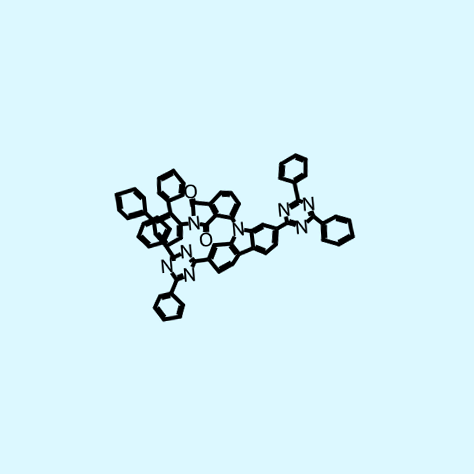 O=C1c2cccc(-n3c4cc(-c5nc(-c6ccccc6)nc(-c6ccccc6)n5)ccc4c4ccc(-c5nc(-c6ccccc6)nc(-c6ccccc6)n5)cc43)c2C(=O)N1c1cccc(-c2ccccc2)c1-c1ccccc1